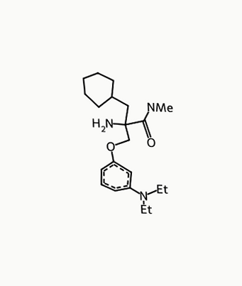 CCN(CC)c1cccc(OCC(N)(CC2CCCCC2)C(=O)NC)c1